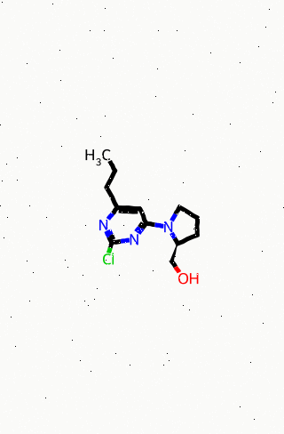 CCCc1cc(N2CCC[C@H]2CO)nc(Cl)n1